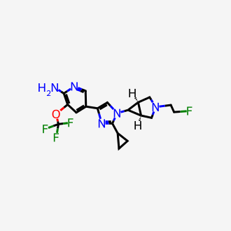 Nc1ncc(-c2cn(C3[C@H]4CN(CCF)C[C@@H]34)c(C3CC3)n2)cc1OC(F)(F)F